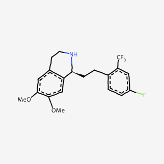 COc1cc2c(cc1OC)[C@H](CCc1ccc(F)cc1C(F)(F)F)NCC2